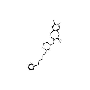 Cc1cc2c(cc1C)CC(=O)N(CC1CCCN(CCCCCc3cccs3)C1)CC2